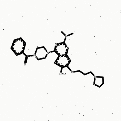 COc1cc2c(N3CCN(C(=O)c4ccccc4)CC3)nc(N(C)C)nc2cc1OCCCN1CCCC1